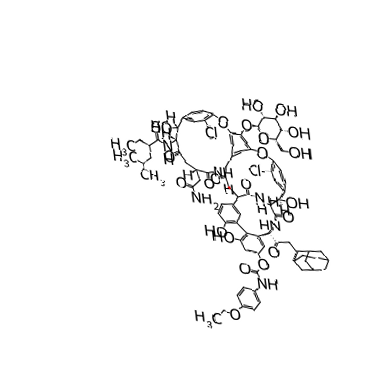 CCOc1ccc(NC(=O)Oc2cc(O)c3c(c2)[C@@H](C(=O)CC2C4CC5CC(C4)CC2C5)NC(=O)[C@H]2NC(=O)[C@H](CC(=O)C4NC(=O)[C@H](CC(N)=O)CC(=O)[C@H](NC(=O)[C@H](CC)CC(C)C)[C@H](O)c5ccc(c(Cl)c5)Oc5cc4cc(c5O[C@@H]4O[C@H](CO)[C@@H](O)[C@H](O)[C@H]4O)Oc4ccc(cc4Cl)[C@H]2O)c2ccc(O)c-3c2)cc1